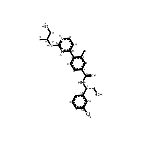 Cc1cc(C(=O)N[C@H](CO)c2cccc(Cl)c2)ccc1-c1ccnc(N[C@@H](C)CO)n1